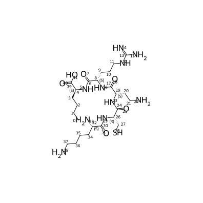 CCCC[C@H](NC(=O)[C@H](CCCNC(=N)N)NC(=O)[C@H](CCN)NC(=O)[C@H](CS)NC(=O)[C@@H](N)CCCCN)C(=O)O